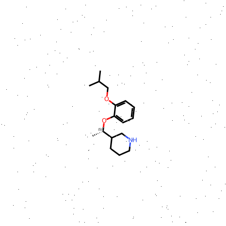 CC(C)COc1ccccc1O[C@@H](C)C1CCCNC1